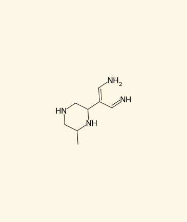 CC1CNCC(/C(C=N)=C/N)N1